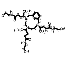 O=C(CCC(C(=O)O)N1CCN(C(CCC(=O)NCCO)C(=O)O)Cc2cccc(n2)CN(C(CCC(=O)NCCO)C(=O)O)CC1)NCCO